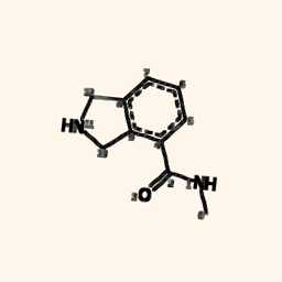 CNC(=O)c1cccc2c1CNC2